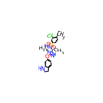 CCn1c(Oc2ccc3cc[nH]c3c2)nnc1[C@@H](C)NS(=O)(=O)c1ccc(C)c(Cl)c1